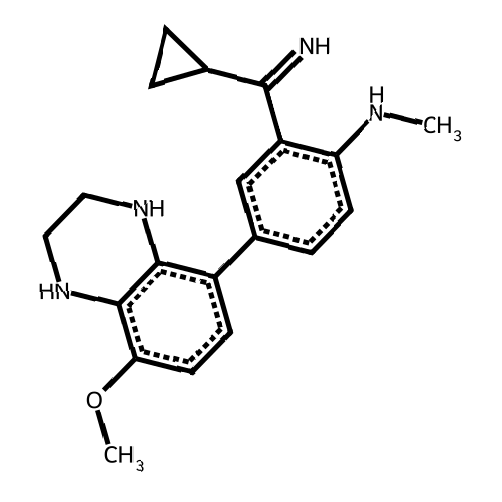 CNc1ccc(-c2ccc(OC)c3c2NCCN3)cc1C(=N)C1CC1